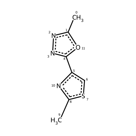 Cc1nnc(-c2csc(C)n2)o1